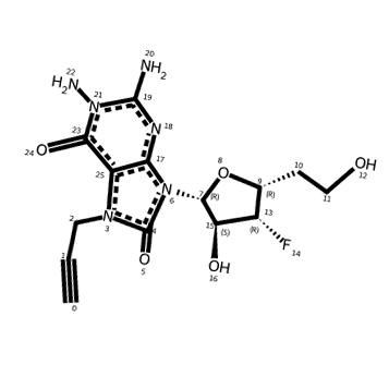 C#CCn1c(=O)n([C@@H]2O[C@H](CCO)[C@H](F)[C@H]2O)c2nc(N)n(N)c(=O)c21